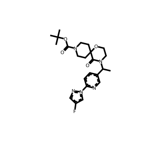 CC(c1ccc(-n2cc(F)cn2)nc1)N1CCOC2(CCN(C(=O)OC(C)(C)C)CC2)C1=O